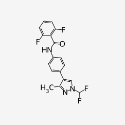 Cc1nn(C(F)F)cc1-c1ccc(NC(=O)c2c(F)cccc2F)cc1